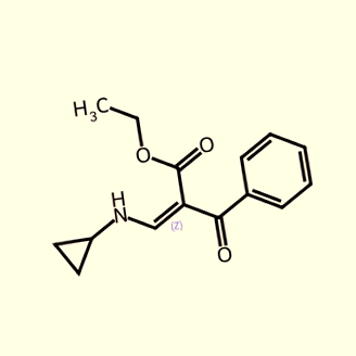 CCOC(=O)/C(=C\NC1CC1)C(=O)c1ccccc1